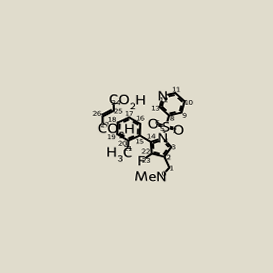 CNCc1cn(S(=O)(=O)c2cccnc2)c(-c2ccccc2C)c1F.O=C(O)C=CC(=O)O